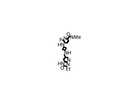 CCc1nc2ncc(CNC3CC(Nc4ccc(C(=O)NC)nc4F)C3)cc2[nH]c1=O